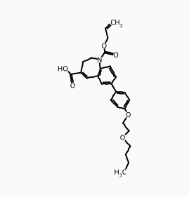 C=CCOC(=O)N1CCC(C(=O)O)=Cc2cc(-c3ccc(OCCOCCCC)cc3)ccc21